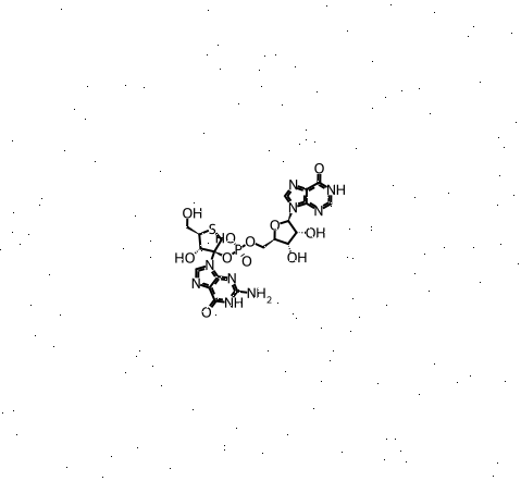 Nc1nc2c(ncn2[C@@]2(OP(=O)(O)OC[C@H]3O[C@@H](n4cnc5c(=O)[nH]cnc54)[C@H](O)[C@@H]3O)CS[C@H](CO)[C@H]2O)c(=O)[nH]1